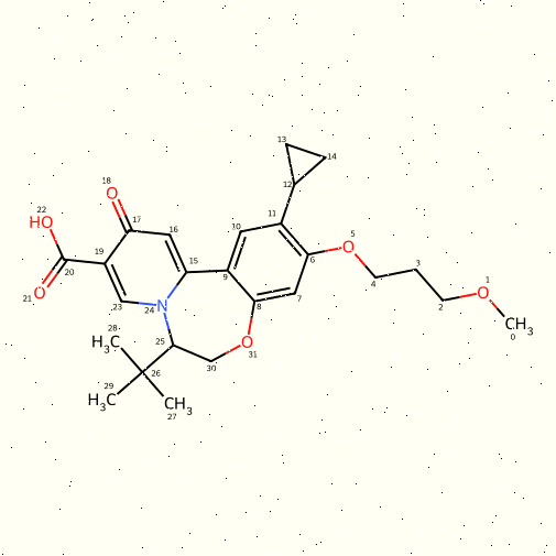 COCCCOc1cc2c(cc1C1CC1)-c1cc(=O)c(C(=O)O)cn1C(C(C)(C)C)CO2